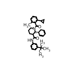 Cc1cccc(C2CC2)c1C(=O)N1CCCC(C(=O)Nc2cccc(C(C)(C)C)c2)[C@@H]1C1C=CC=CC1